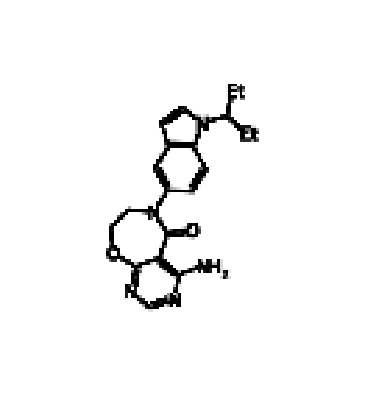 CCC(CC)n1ccc2cc(N3CCOc4ncnc(N)c4C3=O)ccc21